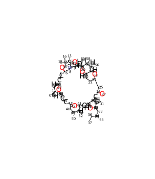 C=C1C[C@@H]2CCC(=O)/C=C/[C@H](O[Si](C)(C)C(C)(C)C)[C@@H]3O[C@H]4CCC(CC(=O)C[C@@H]5[C@@H](C)[C@@H](C[C@H](C)CC)O[C@H]5C[C@H]5OC(CC[C@@H]1O2)C[C@@H](C)C5=C)O[C@@H]4[C@H](C)[C@@H]3C